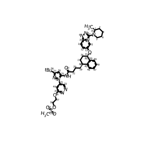 C[C@H]1CCCCN1c1nnc2ccc(O[C@@H]3CC[C@H](CCCC(=O)Nc4cc(C(C)(C)C)nn4-c4cnnc(OCCOS(C)(=O)=O)c4)c4ccccc43)cn12